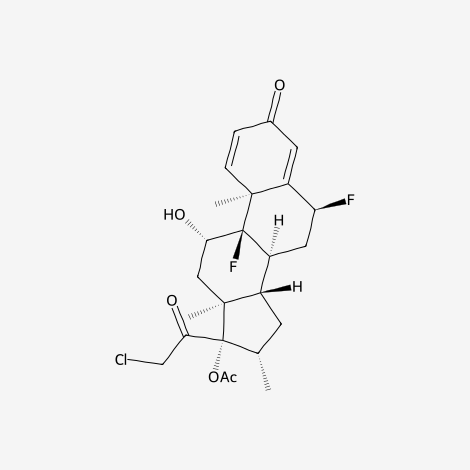 CC(=O)O[C@@]1(C(=O)CCl)[C@@H](C)C[C@H]2[C@@H]3C[C@H](F)C4=CC(=O)C=C[C@]4(C)[C@@]3(F)[C@@H](O)C[C@@]21C